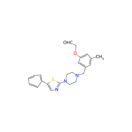 Cc1cc(CN2CCN(c3ncc(-c4ccccc4)s3)CC2)cc(OCC=O)c1